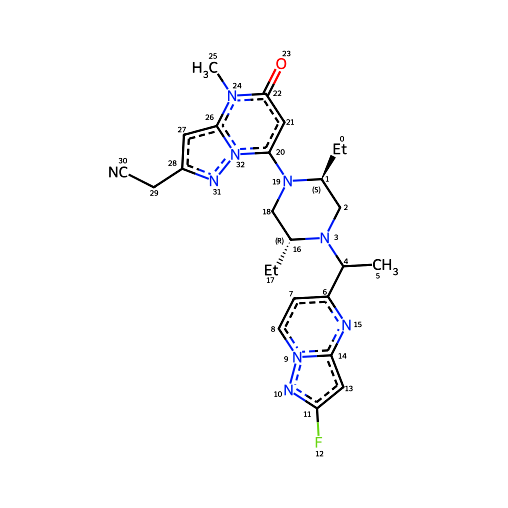 CC[C@H]1CN(C(C)c2ccn3nc(F)cc3n2)[C@H](CC)CN1c1cc(=O)n(C)c2cc(CC#N)nn12